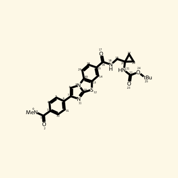 CNC(=O)c1ccc(-c2cn3c(n2)sc2cc(C(=O)NCC4(NC(=O)OC(C)(C)C)CC4)ccc23)cc1